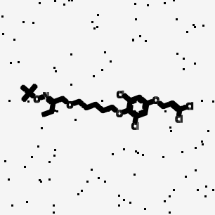 CC/C(COCCCCCOc1c(Cl)cc(OCC=C(Cl)Cl)cc1Cl)=N\OC(C)(C)C